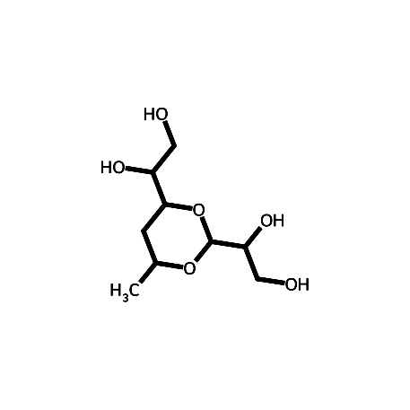 CC1CC(C(O)CO)OC(C(O)CO)O1